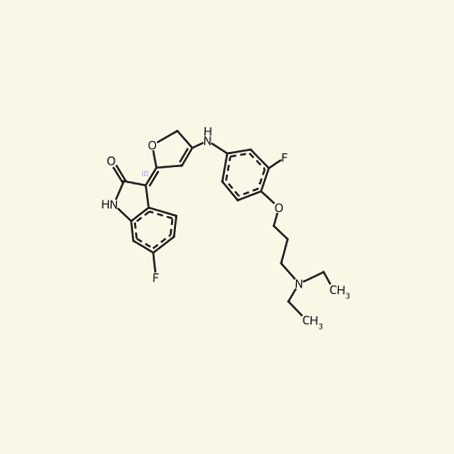 CCN(CC)CCCOc1ccc(NC2=C/C(=C3/C(=O)Nc4cc(F)ccc43)OC2)cc1F